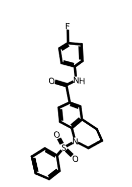 O=C(Nc1ccc(F)cc1)c1ccc2c(c1)CCCN2S(=O)(=O)c1ccccc1